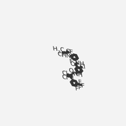 CC(Cl)C(=O)Nc1c(F)ccc(NC(=O)c2cc(NC(=O)[C@H]3[C@H](c4ccc(F)c(C(F)(F)F)c4)C3(Cl)Cl)ccc2Cl)c1F